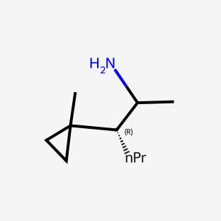 CCC[C@@H](C(C)N)C1(C)CC1